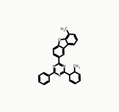 Cc1cccc2c1oc1ccc(-c3nc(-c4ccccc4)nc(C4C=CC=CC4C)n3)cc12